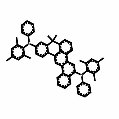 Cc1cc(C)c(N(c2ccccc2)c2ccc3c(c2)C(C)(C)c2cccc4c2c-3cc2c3ccccc3c(N(c3ccccc3)c3c(C)cc(C)cc3C)cc42)c(C)c1